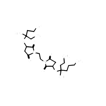 CCCCC(C)(CCC)SC1CC(=O)N(CCN2C(=O)CC(SC(C)(CC)CCC)C2=O)C1=O